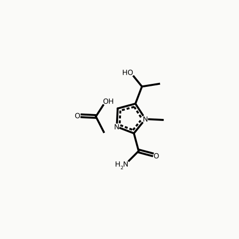 CC(=O)O.CC(O)c1cnc(C(N)=O)n1C